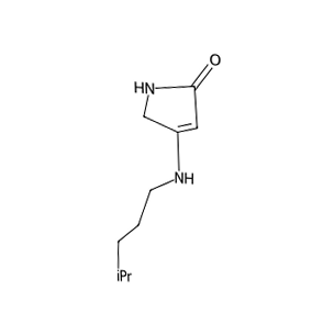 CC(C)CCCNC1=CC(=O)NC1